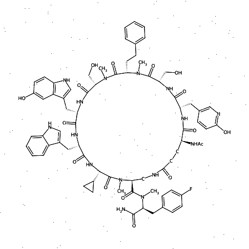 CC(=O)N[C@H]1CCC(=O)NC[C@@H](C(=O)N(C)[C@@H](Cc2ccc(F)cc2)C(N)=O)N(C)C(=O)[C@H](C2CC2)NC(=O)[C@H](Cc2c[nH]c3ccccc23)NC(=O)[C@H](Cc2c[nH]c3ccc(O)cc23)NC(=O)[C@H](CO)N(C)C(=O)[C@H](CCc2ccccc2)N(C)C(=O)[C@H](CO)NC(=O)[C@H](Cc2ccc(O)nc2)NC1=O